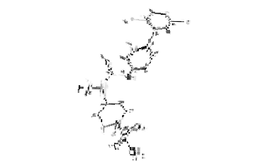 CN(C(=O)Nc1ccc(-c2cc(F)ccc2F)nc1)C1CCN(S(C)(=O)=O)CC1